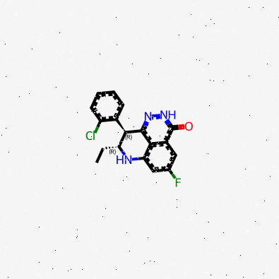 CC[C@H]1Nc2cc(F)cc3c(=O)[nH]nc(c23)[C@@H]1c1ccccc1Cl